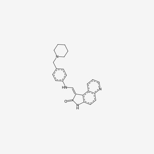 O=C1Nc2ccc3ncccc3c2/C1=C/Nc1ccc(CN2CCCCC2)cc1